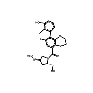 CO/N=C1/C[C@@H](CO)N(C(=O)c2cc(F)c(-c3cccc(C#N)c3C)c3c2OCCO3)C1